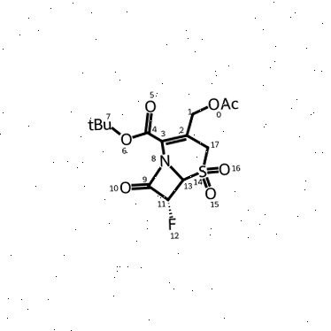 CC(=O)OCC1=C(C(=O)OC(C)(C)C)N2C(=O)[C@@H](F)C2S(=O)(=O)C1